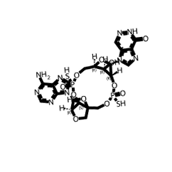 Nc1ncnc2c1ncn2[C@@H]1OC23CO[C@@H]1[C@@H]2OP(=O)(S)OC[C@H]1O[C@@H](n2cnc4c(=O)[nH]ncc42)[C@H](OP(=O)(S)OC3)[C@@H]1O